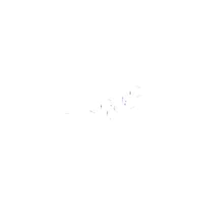 O=C(O)/C=C/c1cccn(Cc2ccc3ccccc3n2)c1=O